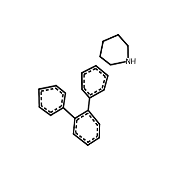 C1CCNCC1.c1ccc(-c2ccccc2-c2ccccc2)cc1